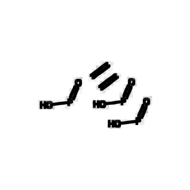 C=C.C=C.O=PO.O=PO.O=PO